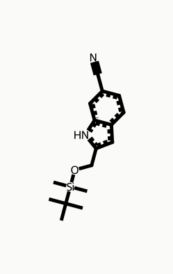 CC(C)(C)[Si](C)(C)OCc1cc2ccc(C#N)cc2[nH]1